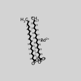 CCCCCCCCCCCCCCCCCC(=O)[O-].CCCCCCCCCCCCCCCCCC(=O)[O-].[Pd+2]